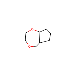 C1CC2COCCOC2C1